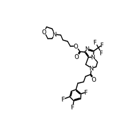 O=C(OCCCCN1CCOCC1)c1nc(C(F)(F)F)n2c1CN(C(=O)CCCc1cc(F)c(F)cc1F)CC2